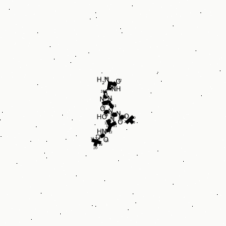 CC(C)(C)OC(=O)N=C(N1CC(CNC(=O)OC(C)(C)C)C1)N(Cc1cnn(C[C@H]2NC(=O)[C@H]2N)n1)C(=O)O